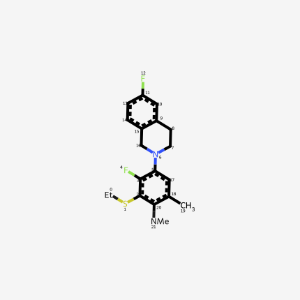 CCSc1c(F)c(N2CCc3cc(F)ccc3C2)cc(C)c1NC